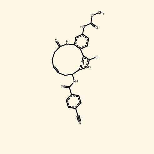 COC(=O)Nc1ccc2c(c1)NC(=O)CCC=CCC(NC(=O)c1ccc(C#N)cc1)c1nc-2c(Cl)[nH]1